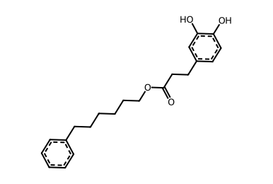 O=C(CCc1ccc(O)c(O)c1)OCCCCCCc1ccccc1